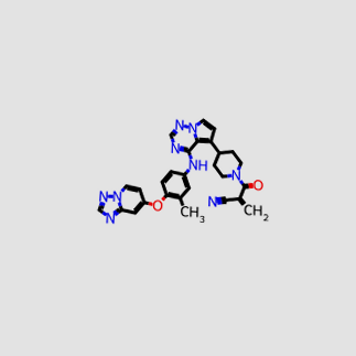 C=C(C#N)C(=O)N1CCC(c2ccn3ncnc(Nc4ccc(Oc5ccn6ncnc6c5)c(C)c4)c23)CC1